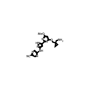 COc1cc(OCC2(CN)CC2)nc(-c2cc(Nc3cnc(C#N)cn3)n[nH]2)n1